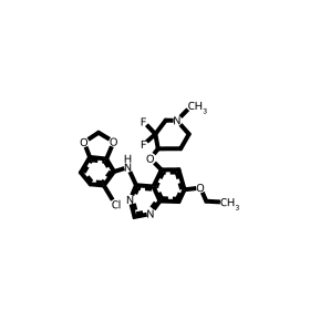 CCOc1cc(OC2CCN(C)CC2(F)F)c2c(Nc3c(Cl)ccc4c3OCO4)ncnc2c1